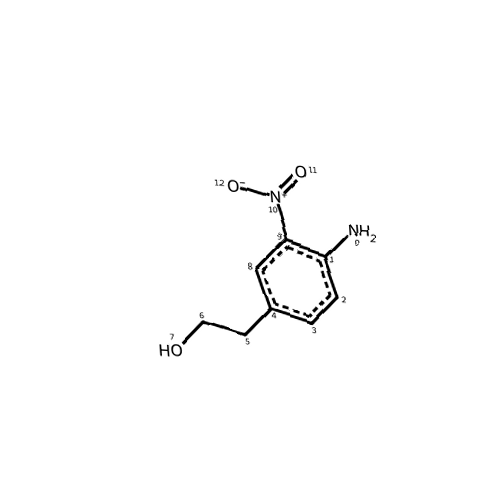 Nc1ccc(CCO)cc1[N+](=O)[O-]